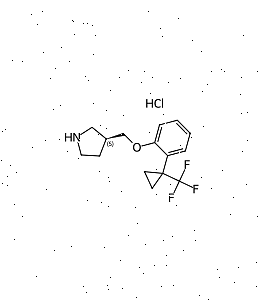 Cl.FC(F)(F)C1(c2ccccc2OC[C@H]2CCNC2)CC1